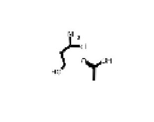 CC(=O)O.NC(Cl)CCO